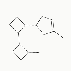 CC1=CCC(C2CCC2C2CCC2C)C1